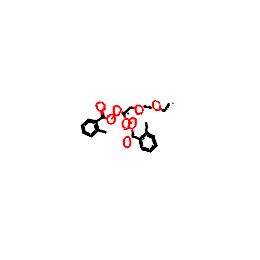 [CH2]COCCOC[C](OOC(=O)c1ccccc1C)OOC(=O)c1ccccc1C